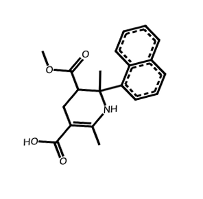 COC(=O)C1CC(C(=O)O)=C(C)NC1(C)c1cccc2ccccc12